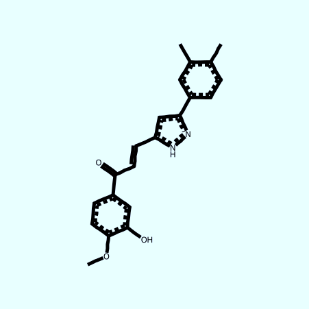 COc1ccc(C(=O)C=Cc2cc(-c3ccc(C)c(C)c3)n[nH]2)cc1O